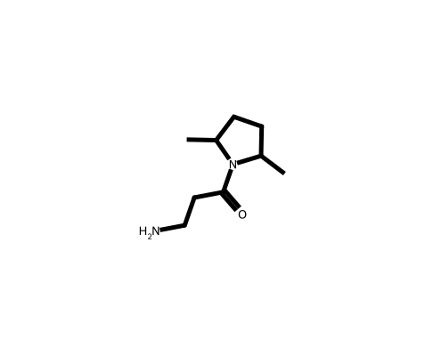 CC1CCC(C)N1C(=O)CCN